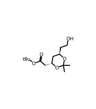 CC(C)(C)OC(=O)C[C@@H]1C[C@@H](CCO)OC(C)(C)O1